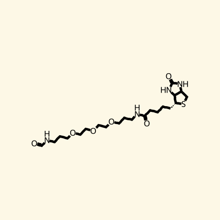 O=CNCCCOCCOCCOCCCNC(=O)CCCC[C@H]1SCC2NC(=O)NC21